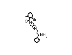 Cc1cccc(Br)c1C(=O)N1CC2CN(CC[C@H](N)c3ccccc3)CC2C1